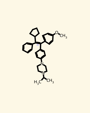 COc1ccc(/C(=C(/c2ccccc2)C2CCCC2)c2ccc(N3CCN(C(C)C)CC3)cc2)cc1